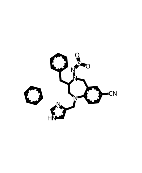 N#Cc1ccc2c(c1)CN(N=S(=O)=O)C(Cc1ccccc1)CN2Cc1c[nH]cn1.c1ccccc1